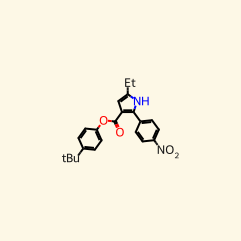 CCc1cc(C(=O)Oc2ccc(C(C)(C)C)cc2)c(-c2ccc([N+](=O)[O-])cc2)[nH]1